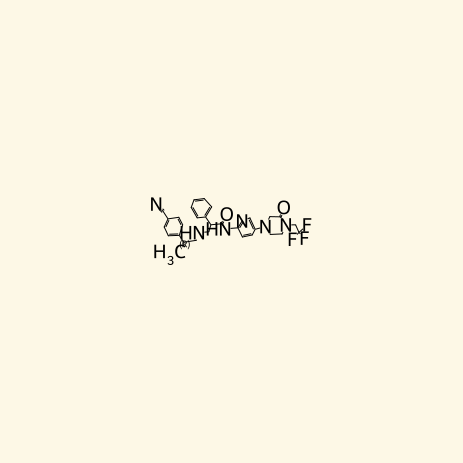 C[C@@H](CNCC(C(=O)Nc1ccc(N2CCN(CC(F)(F)F)C(=O)C2)cn1)c1ccccc1)c1ccc(C#N)cc1